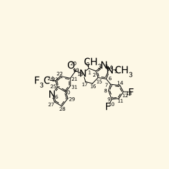 C[C@H]1c2nn(C)c(-c3cc(F)cc(F)c3)c2CCN1C(=O)c1cc(C(F)(F)F)c2ncccc2c1